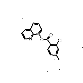 Cc1ccc(C(=O)Oc2cccc3cccnc23)c(Cl)c1